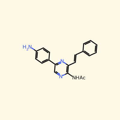 CC(=O)Nc1ncc(-c2ccc(N)cc2)nc1/C=C/c1ccccc1